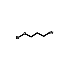 C[CH]CCCCOCC